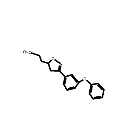 O=CCCC1CC(c2cccc(Oc3ccccc3)c2)=NO1